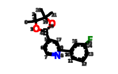 CC1(C)OB(c2ccnc(-c3cccc(F)c3)c2)OC1(C)C